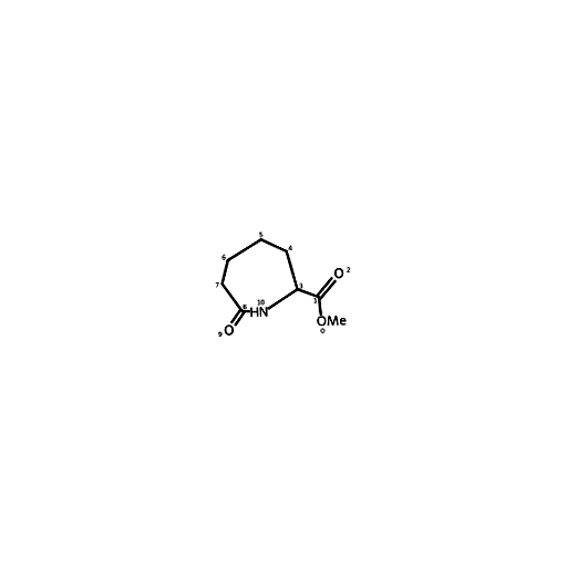 COC(=O)C1CCCCC(=O)N1